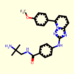 CC(C)(N)CNC(=O)c1ccc(Nc2nc3cccc(-c4ccc(OC(F)(F)F)cc4)n3n2)cc1